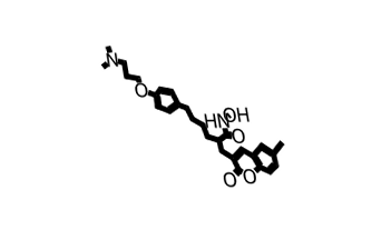 Cc1ccc2oc(=O)c(CC(CCCCc3ccc(OCCCN(C)C)cc3)C(=O)NO)cc2c1